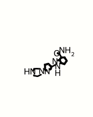 NC(=O)c1cccc2[nH]c(-c3ccc(N4CCCNCC4)nc3)nc12